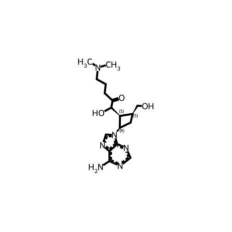 CN(C)CCCC(=O)C(O)[C@H]1[C@@H](CO)C[C@H]1n1cnc2c(N)ncnc21